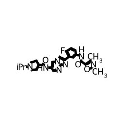 Cc1nc(C)c(C(=O)Nc2ccc(F)c(-c3cn4cc(NC(=O)C5CCN(C(C)C)CC5)cnc4n3)c2)o1